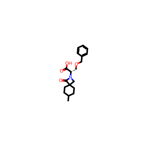 CC1CCC2(CC1)CN([C@@H](COCc1ccccc1)C(=O)O)C2=O